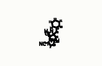 N#C[C@@H]1CS[C@H]2C[C@](N)(CC3CCCCC3)C(=O)N12